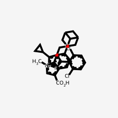 Cn1cc(C(=O)O)c2ccc(N3CC4CC(C3)C4OCc3c(-c4c(Cl)cccc4Cl)noc3C3CC3)cc21